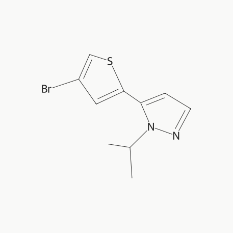 CC(C)n1nccc1-c1cc(Br)cs1